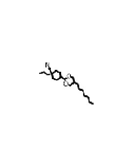 CCCCCCCC1COC(C2CCC(C#N)(CCC)CC2)OC1